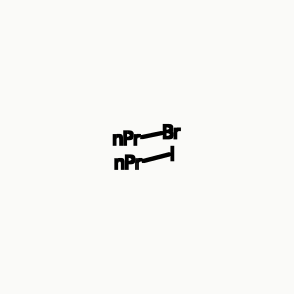 CCCBr.CCCI